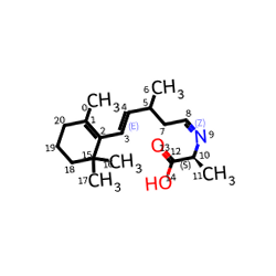 CC1=C(/C=C/C(C)C/C=N\[C@@H](C)C(=O)O)C(C)(C)CCC1